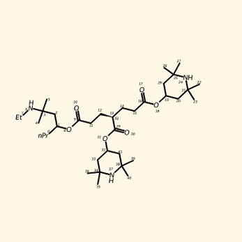 CCCC(CC(C)(C)NCC)OC(=O)CC[C@@H](CCC(=O)OC1CC(C)(C)NC(C)(C)C1)C(=O)OC1CC(C)(C)NC(C)(C)C1